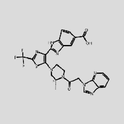 C[C@@H]1CN(c2sc(C(F)(F)F)nc2-c2nc3cc(C(=O)O)ccc3[nH]2)CCN1C(=O)Cn1cnc2cccnc21